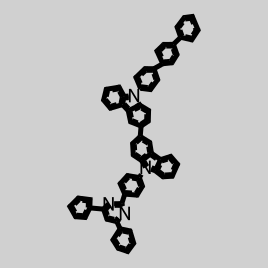 c1ccc(-c2ccc(-c3ccc(-n4c5ccccc5c5cc(-c6ccc7c(c6)c6ccccc6n7-c6ccc(-c7nc(-c8ccccc8)cc(-c8ccccc8)n7)cc6)ccc54)cc3)cc2)cc1